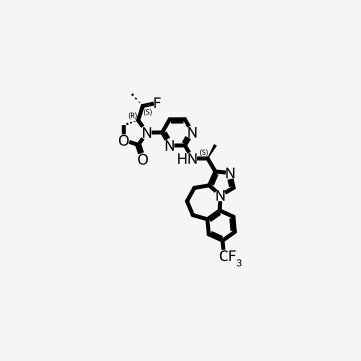 C[C@H](Nc1nccc(N2C(=O)OC[C@@H]2[C@H](C)F)n1)c1ncn2c1CCCc1cc(C(F)(F)F)ccc1-2